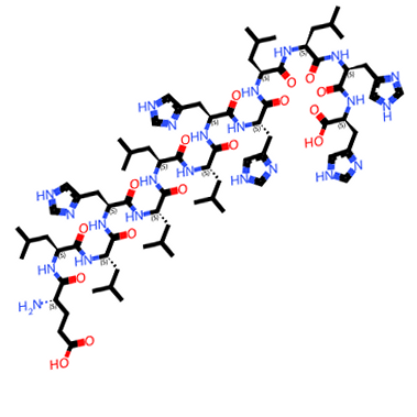 CC(C)C[C@H](NC(=O)[C@H](CC(C)C)NC(=O)[C@H](Cc1c[nH]cn1)NC(=O)[C@H](Cc1c[nH]cn1)NC(=O)[C@H](CC(C)C)NC(=O)[C@H](CC(C)C)NC(=O)[C@H](CC(C)C)NC(=O)[C@H](Cc1c[nH]cn1)NC(=O)[C@H](CC(C)C)NC(=O)[C@H](CC(C)C)NC(=O)[C@@H](N)CCC(=O)O)C(=O)N[C@@H](Cc1c[nH]cn1)C(=O)N[C@@H](Cc1c[nH]cn1)C(=O)O